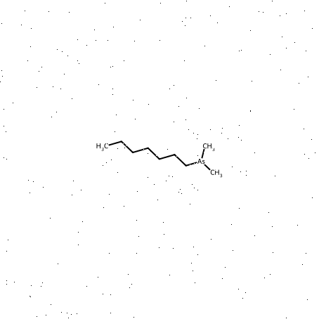 CCCCCCC[As](C)C